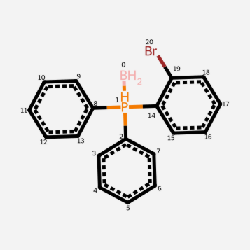 B[PH](c1ccccc1)(c1ccccc1)c1ccccc1Br